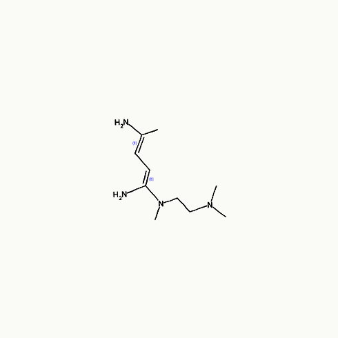 C/C(N)=C\C=C(/N)N(C)CCN(C)C